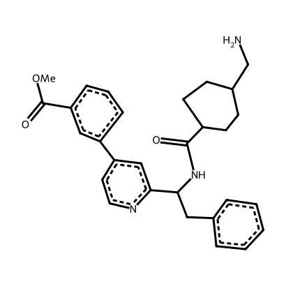 COC(=O)c1cccc(-c2ccnc(C(Cc3ccccc3)NC(=O)C3CCC(CN)CC3)c2)c1